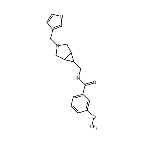 O=C(NCC1C2CN(Cc3ccoc3)CC12)c1cccc(OC(F)(F)F)c1